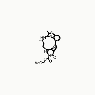 CC(=O)OCOC(=O)N1C[C@@H]2C/C=C/[C@H](C)Nc3nc4c(cccc4nc3C)-c3cc(c2[nH]3)C1=O